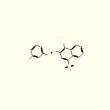 Nc1c(N=Nc2cccc(F)c2)cc(S(=O)(=O)[O-])c2ccccc12.[Na+]